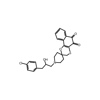 O=C1C(=O)c2ccccc2C2=C1SCC1(CCN(CC(O)Cc3ccc(Cl)cc3)CC1)O2